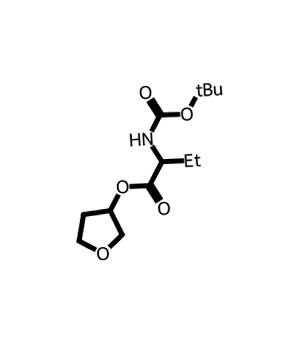 CCC(NC(=O)OC(C)(C)C)C(=O)OC1CCOC1